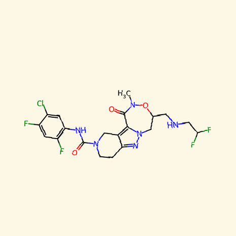 CN1OC(CNCC(F)F)Cn2nc3c(c2C1=O)CN(C(=O)Nc1cc(Cl)c(F)cc1F)CC3